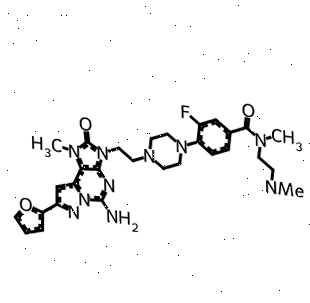 CNCCN(C)C(=O)c1ccc(N2CCN(CCn3c(=O)n(C)c4c3nc(N)n3nc(-c5ccco5)cc43)CC2)c(F)c1